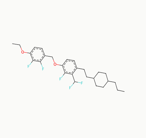 CCCC1CCC(CCc2ccc(OCc3ccc(OCC)c(F)c3F)c(F)c2C(F)F)CC1